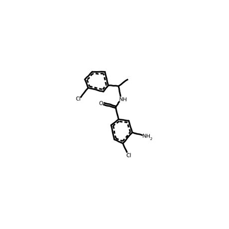 CC(NC(=O)c1ccc(Cl)c(N)c1)c1cccc(Cl)c1